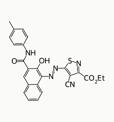 CCOC(=O)c1nsc(/N=N/c2c(O)c(C(=O)Nc3ccc(C)cc3)cc3ccccc23)c1C#N